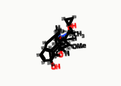 CO[C@@]12C[C@H](C)C[C@@]3(C[C@@H]1[C@](C)(O)C(C)(C)C)[C@H]1Cc4ccc(O)c5c4[C@@]3(CCN1CC1CC1)[C@H]2O5